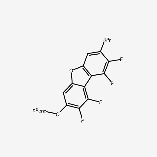 CCCCCOc1cc2oc3cc(CCC)c(F)c(F)c3c2c(F)c1F